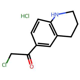 Cl.O=C(CCl)c1ccc2c(c1)CCCN2